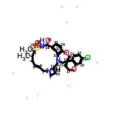 C[C@@H]1[C@@H](C)C/C=C/CN2CC[C@H]2CN2CC3(CCOc4cc(Cl)ccc43)COc3ccc(cc32)C(=O)NS1(=O)=O